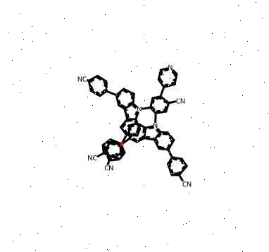 N#Cc1ccc(-c2ccc3c(c2)c2cc(-c4ccc(C#N)cc4)ccc2n3-c2cc(C#N)c(-c3ccncc3)cc2-n2c3ccc(-c4ccc(C#N)cc4)cc3c3cc(-c4ccc(C#N)cc4)ccc32)cc1